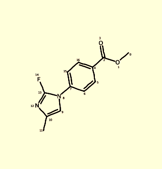 COC(=O)c1ccc(-n2cc(C)nc2F)cc1